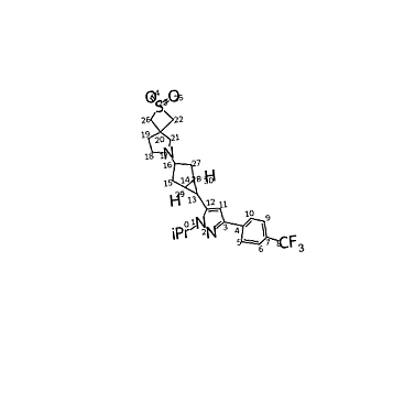 CC(C)n1nc(-c2ccc(C(F)(F)F)cc2)cc1C1[C@H]2CC(N3CCC4(C3)CS(=O)(=O)C4)C[C@@H]12